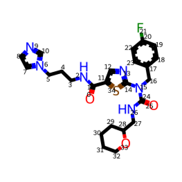 O=C(NCCCn1ccnc1)c1cnc(N(Cc2ccc(F)cc2)C(=O)NCC2CCCCO2)s1